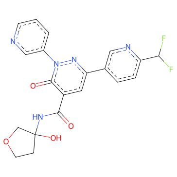 O=C(NC1(O)CCOC1)c1cc(-c2ccc(C(F)F)nc2)nn(-c2cccnc2)c1=O